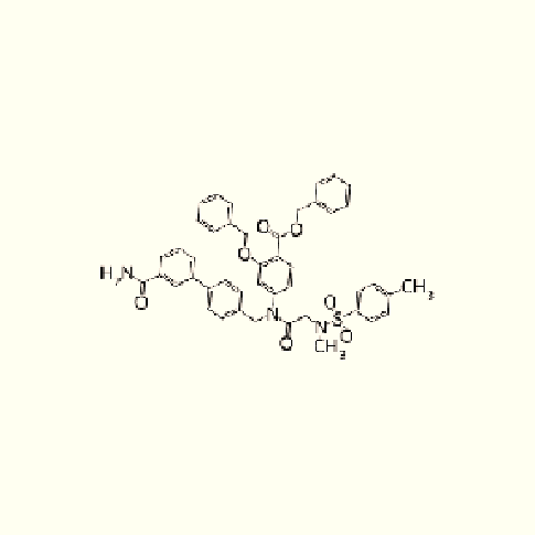 Cc1ccc(S(=O)(=O)N(C)CC(=O)N(Cc2ccc(-c3cccc(C(N)=O)c3)cc2)c2ccc(C(=O)OCc3ccccc3)c(OCc3ccccc3)c2)cc1